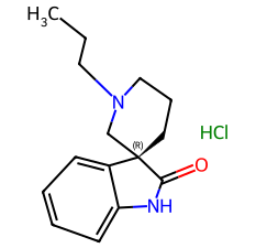 CCCN1CCC[C@@]2(C1)C(=O)Nc1ccccc12.Cl